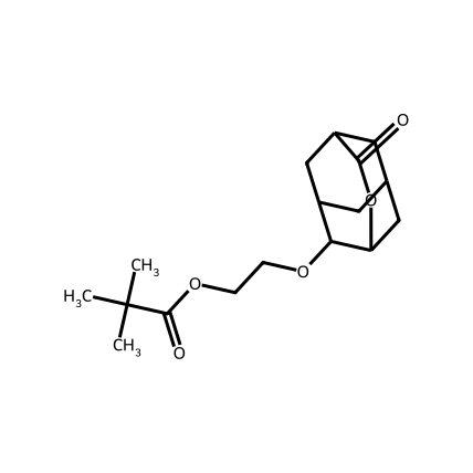 CC(C)(C)C(=O)OCCOC1C2CC3CC(C2)C(=O)OC1C3